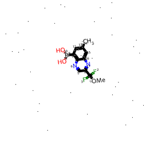 COC(F)(F)c1cnc2c(B(O)O)cc(C)cc2n1